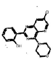 Oc1ccccc1-c1nc(N2CCOCC2)c2ncc(Cl)cc2n1